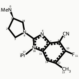 CN[C@@H]1CCN(c2nc3c(C#N)c(F)c(C)cc3n2C(C)C)C1